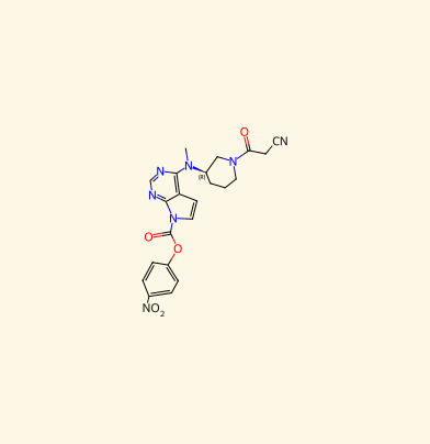 CN(c1ncnc2c1ccn2C(=O)Oc1ccc([N+](=O)[O-])cc1)[C@@H]1CCCN(C(=O)CC#N)C1